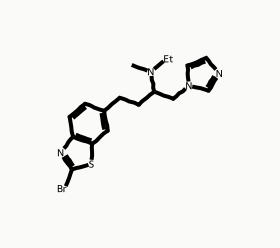 CCN(C)C(CCc1ccc2nc(Br)sc2c1)Cn1ccnc1